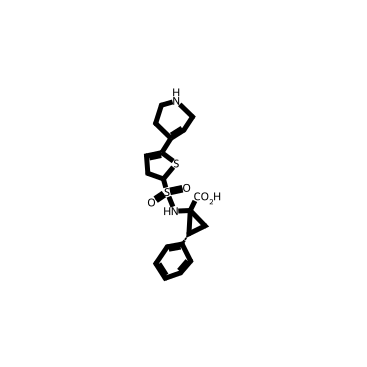 O=C(O)C1(NS(=O)(=O)C2CC=C(C3=CCNCC3)S2)C[C@@H]1c1ccccc1